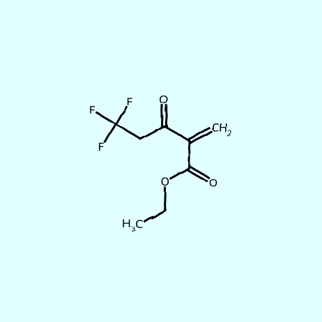 C=C(C(=O)CC(F)(F)F)C(=O)OCC